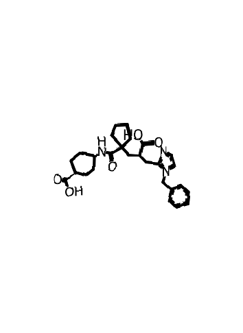 O=C(O)C(Cc1nccn1Cc1ccccc1)CC1(C(=O)N[C@H]2CC[C@@H](C(=O)O)CC2)CCCC1